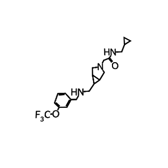 O=C(CN1CC2C(CNCc3cccc(OC(F)(F)F)c3)C2C1)NCC1CC1